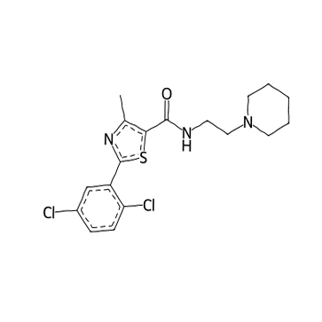 Cc1nc(-c2cc(Cl)ccc2Cl)sc1C(=O)NCCN1CCCCC1